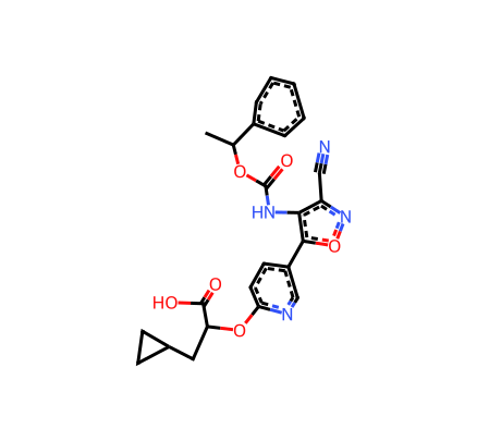 CC(OC(=O)Nc1c(C#N)noc1-c1ccc(OC(CC2CC2)C(=O)O)nc1)c1ccccc1